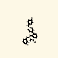 CCNC(=O)N(Cc1cccc(Cl)c1)Cc1ccccc1C1CCN(Cc2ccc(F)cc2)CC1